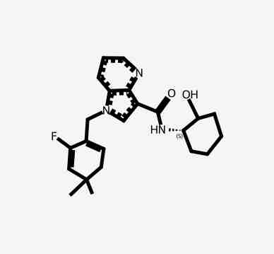 CC1(C)C=C(F)C(Cn2cc(C(=O)N[C@H]3CCCCC3O)c3ncccc32)=CC1